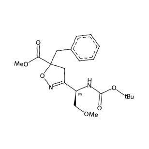 COC[C@H](NC(=O)OC(C)(C)C)C1=NOC(Cc2ccccc2)(C(=O)OC)C1